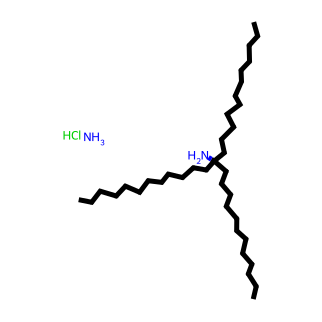 CCCCCCCCCCCCC(N)(CCCCCCCCCCCC)CCCCCCCCCCCC.Cl.N